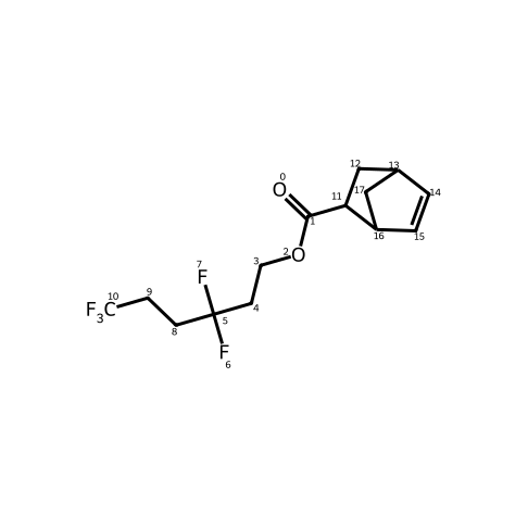 O=C(OCCC(F)(F)CCC(F)(F)F)C1CC2C=CC1C2